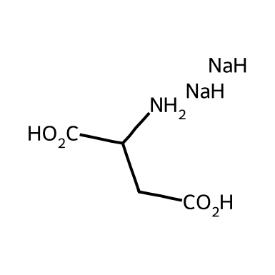 NC(CC(=O)O)C(=O)O.[NaH].[NaH]